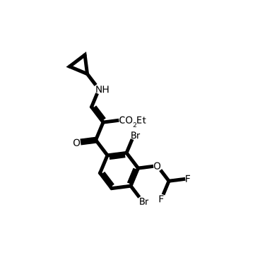 CCOC(=O)/C(=C\NC1CC1)C(=O)c1ccc(Br)c(OC(F)F)c1Br